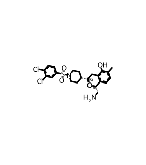 Cc1ccc2c(c1O)C[C@@H](C1CCN(S(=O)(=O)c3ccc(Cl)c(Cl)c3)CC1)O[C@H]2CN